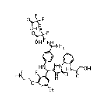 CCc1cc(OCCN(C)C)c(F)c(C(Nc2ccc(C(=N)N)cc2)c2nn(-c3ccccc3NC(=O)CO)c(=O)[nH]2)c1.O=C(O)C(F)(F)F.O=C(O)C(F)(F)F